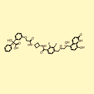 O=C(COc1cccc([C@](O)(C(=O)O)c2ccccc2)c1)N[C@H]1C[C@H](NC(=O)c2ccc(CNC[C@H](O)c3ccc(O)c4[nH]c(=O)ccc34)c(F)c2F)C1